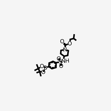 CC(C)COC(=O)N1CCC(NS(=O)(=O)c2ccc(B3OC(C)(C)C(C)(C)O3)cc2)CC1